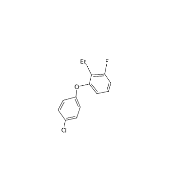 CCc1c(F)cccc1Oc1ccc(Cl)cc1